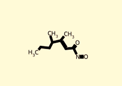 CCCC(C)/C(C)=C/C(=O)N=O